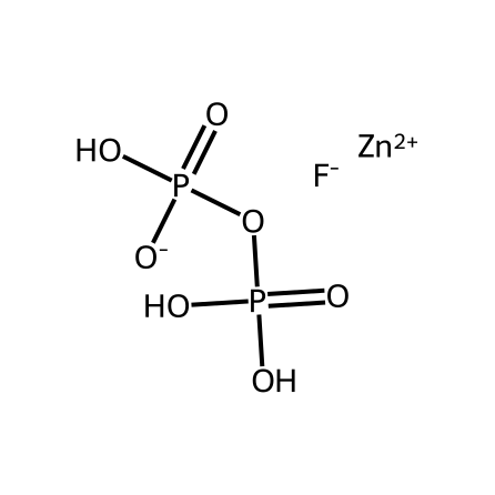 O=P([O-])(O)OP(=O)(O)O.[F-].[Zn+2]